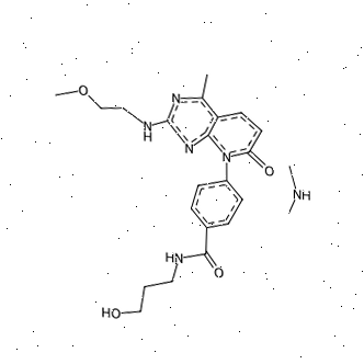 CNC.COCCNc1nc(C)c2ccc(=O)n(-c3ccc(C(=O)NCCCO)cc3)c2n1